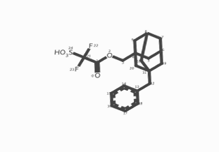 O=C(OCC12CC3CC(C1)CC(Cc1ccccc1)(C3)C2)C(F)(F)S(=O)(=O)O